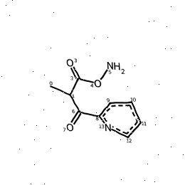 CC(C(=O)ON)C(=O)c1ccccn1